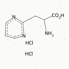 Cl.Cl.NC(Cc1ncccn1)C(=O)O